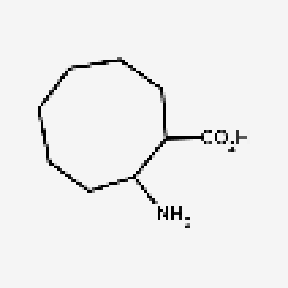 NC1CCCCCCC1C(=O)O